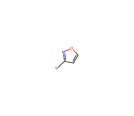 [Li][c]1ccon1